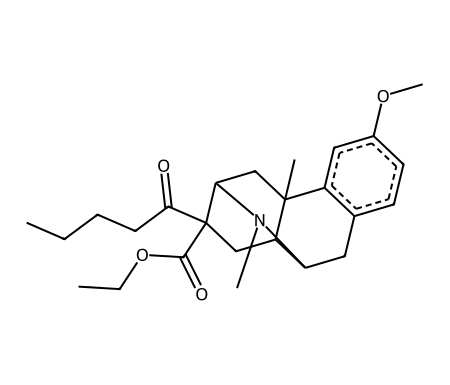 CCCCC(=O)C1(C(=O)OCC)CC2C3Cc4ccc(OC)cc4C2(C)CC1N3C